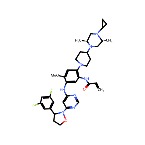 C=CC(=O)Nc1cc(Nc2cc(N3OCCC3c3cc(F)cc(F)c3)ncn2)c(OC)cc1N1CCC(N2C[C@@H](C)N(C3CC3)C[C@@H]2C)CC1